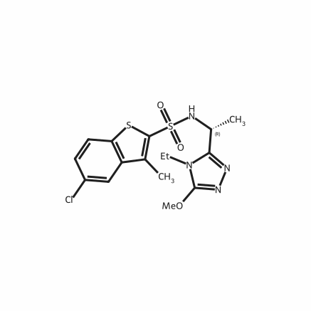 CCn1c(OC)nnc1[C@@H](C)NS(=O)(=O)c1sc2ccc(Cl)cc2c1C